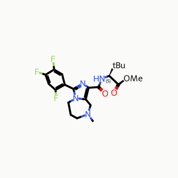 COC(=O)[C@@H](NC(=O)c1nc(-c2cc(F)c(F)cc2F)n2c1CN(C)CCC2)C(C)(C)C